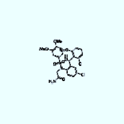 COc1ccc(S(=O)(=O)N(CC(N)=O)c2ccc(Cl)cc2C(O)c2c(Cl)cccc2OC)cc1OC